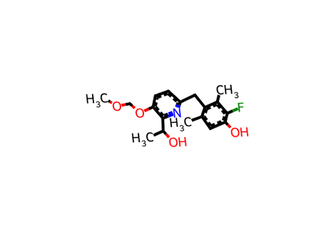 COCOc1ccc(Cc2c(C)cc(O)c(F)c2C)nc1C(C)O